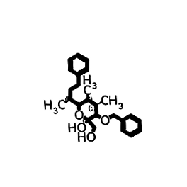 C[C@H](CCc1ccccc1)C1O[C@@](O)(CO)C(OCc2ccccc2)[C@@H](C)[C@@H]1C